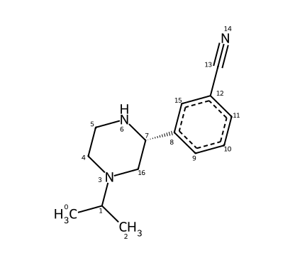 CC(C)N1CCN[C@H](c2cccc(C#N)c2)C1